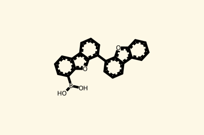 OB(O)c1cccc2c1oc1c(-c3cccc4c3oc3ccccc34)cccc12